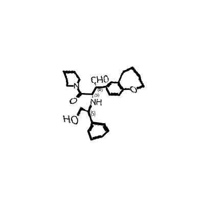 O=C[C@H](c1ccc2c(c1)CCCCO2)[C@H](N[C@H](CO)c1ccccc1)C(=O)N1CCCC1